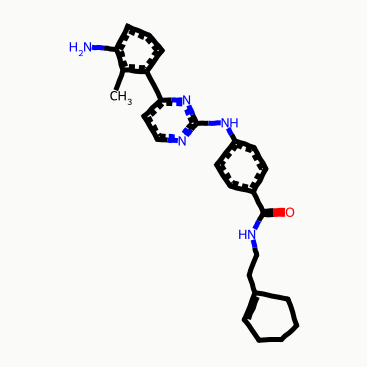 Cc1c(N)cccc1-c1ccnc(Nc2ccc(C(=O)NCCC3=CCCCC3)cc2)n1